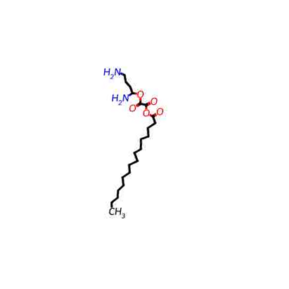 CCCCCCCCCCCCCCCC(=O)OC(=O)C(=O)OC(N)CCCN